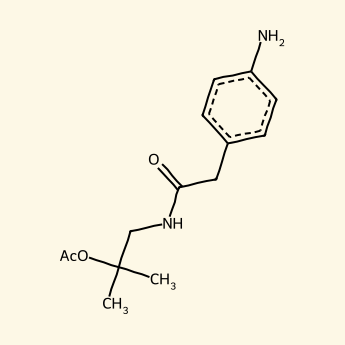 CC(=O)OC(C)(C)CNC(=O)Cc1ccc(N)cc1